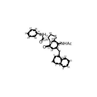 CC(=O)Nc1c(Cc2cccc3ccccc23)cc(=O)n2c1SC[C@H]2C(=O)Nc1ccccc1